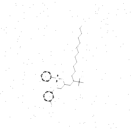 CCCCCCCCCCCCC(CC(COc1cccc(O)c1)NS(=O)(=O)c1ccccc1)C(C)(C)C